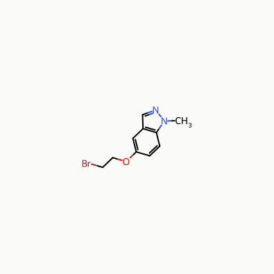 Cn1ncc2cc(OCCBr)ccc21